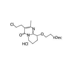 CCCCCCCCCCCCOC1CCCn2c1nc(C)c(CCCl)c2=O.Cl